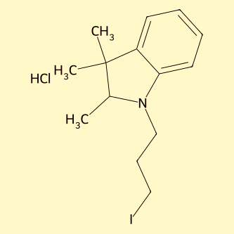 CC1N(CCCI)c2ccccc2C1(C)C.Cl